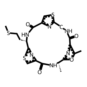 CSCC[C@@H]1NC(=O)c2csc(n2)CNC(=O)c2nc(oc2C)[C@H](C)NC(=O)c2csc1n2